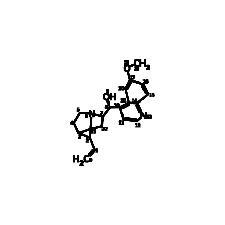 C=CC1C2CCN3C([C@@H](O)c4ccnc5ccc(OC)cc45)CC123